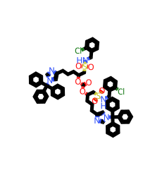 O=C(OC(CCCc1cn(C(c2ccccc2)(c2ccccc2)c2ccccc2)cn1)CS(=O)(=O)NCc1ccccc1Cl)OC(CCCc1cn(C(c2ccccc2)(c2ccccc2)c2ccccc2)cn1)CS(=O)(=O)NCc1ccccc1Cl